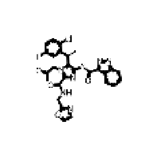 CC(=O)Cn1c(C(=O)NCc2ncco2)nc(NC(=O)c2nsc3ccccc23)c1[C@H](C)c1cc(F)ccc1Cl